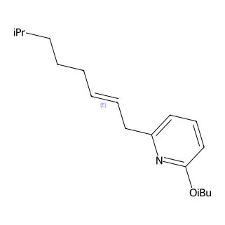 CC(C)CCC/C=C/Cc1cccc(OCC(C)C)n1